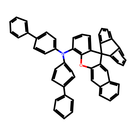 c1ccc(-c2ccc(N(c3ccc(-c4ccccc4)cc3)c3cccc4c3Oc3cc5ccccc5cc3C43c4ccccc4-c4ccccc43)cc2)cc1